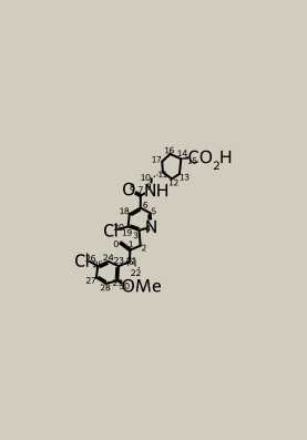 C=C(Cc1ncc(C(=O)NC[C@H]2CC[C@H](C(=O)O)CC2)cc1Cl)[C@H](C)c1cc(Cl)ccc1OC